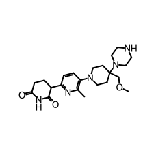 COCC1(N2CCNCC2)CCN(c2ccc(C3CCC(=O)NC3=O)nc2C)CC1